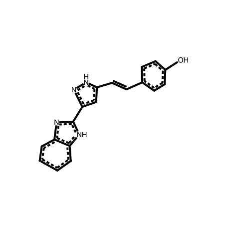 Oc1ccc(C=Cc2cc(-c3nc4ccccc4[nH]3)n[nH]2)cc1